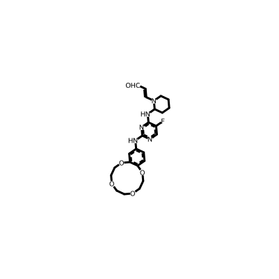 O=CC=CN1CCCCC1Nc1nc(Nc2ccc3c(c2)OCCOCCOCCO3)ncc1F